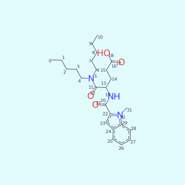 CCCCCN(CCCCC)C(=O)C(CCC(=O)O)NC(=O)c1cc2ccccc2n1C